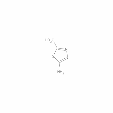 Nc1cnc(C(=O)O)s1